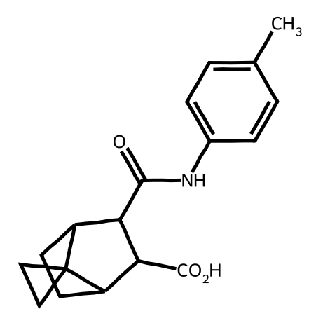 Cc1ccc(NC(=O)C2C(C(=O)O)C3CCC2C32CC2)cc1